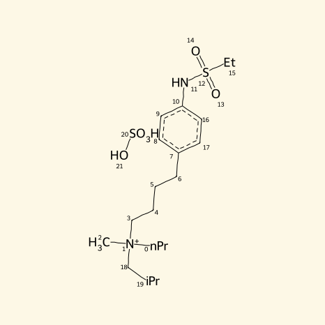 CCC[N+](C)(CCCCc1ccc(NS(=O)(=O)CC)cc1)CC(C)C.O=S(=O)(O)O